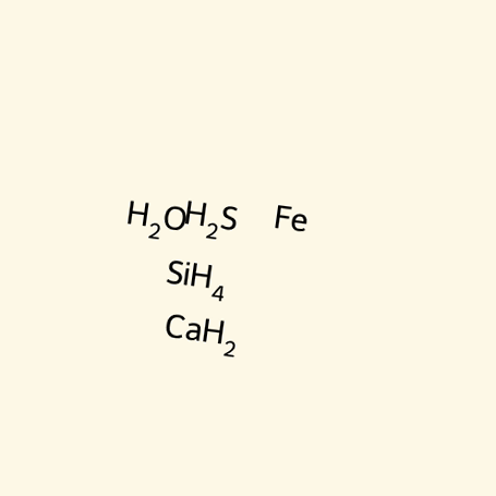 O.S.[CaH2].[Fe].[SiH4]